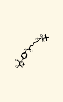 CC(C)(C)S(=O)(=O)NCCCCC(=O)Nc1ccc(-n2cnc(Cl)c2Cl)cc1